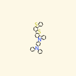 c1ccc(N(c2ccccc2)c2ccc(-n3c4ccccc4c4c5sc6c(ccc7sc8ccccc8c76)c5ccc43)cc2)cc1